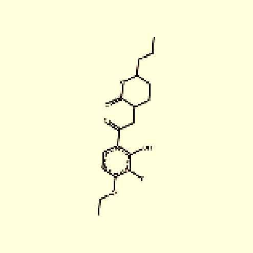 CCCC1CCC(CC(=O)c2ccc(OCC)c(F)c2O)C(=O)O1